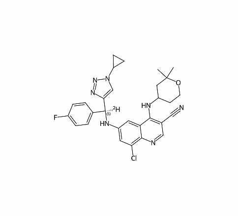 [2H][C@](Nc1cc(Cl)c2ncc(C#N)c(NC3CCOC(C)(C)C3)c2c1)(c1ccc(F)cc1)c1cn(C2CC2)nn1